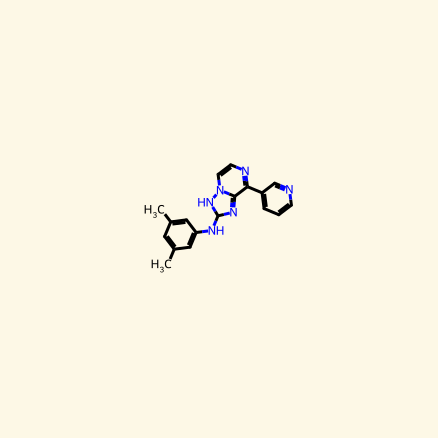 Cc1cc(C)cc(NC2N=C3C(c4cccnc4)=NC=CN3N2)c1